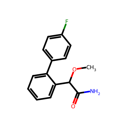 COC(C(N)=O)c1ccccc1-c1ccc(F)cc1